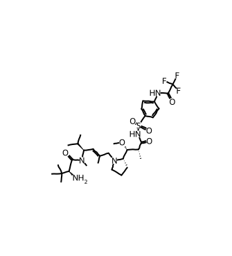 CO[C@H]([C@@H](C)C(=O)NS(=O)(=O)c1ccc(NC(=O)C(F)(F)F)cc1)[C@@H]1CCCN1C/C(C)=C/[C@H](C(C)C)N(C)C(=O)[C@@H](N)C(C)(C)C